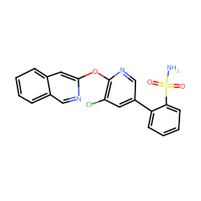 NS(=O)(=O)c1ccccc1-c1cnc(Oc2cc3ccccc3cn2)c(Cl)c1